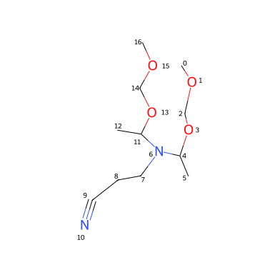 COCOC(C)N(CCC#N)C(C)OCOC